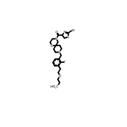 CC(C)C1=NC(C(=O)N2CCOC3(CCN(Cc4cccc(CCOCCC(=O)O)c4F)CC3)C2)CS1